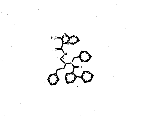 Cc1nc2sccn2c1C(=O)NCC(CCc1ccccc1)N(Cc1ccccc1)C(=O)c1ccccc1-c1ccccc1